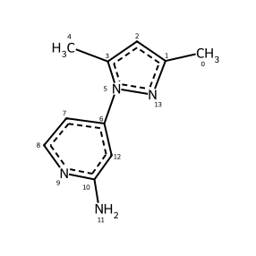 Cc1cc(C)n(-c2ccnc(N)c2)n1